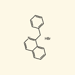 Br.c1ccc(Cc2nccc3ccccc23)cc1